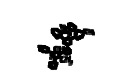 Cc1c(-c2ccccc2)nc(-c2ccccc2)c(C)c1-c1cccc(-c2cc(-c3ccc(C#N)cc3)cc(-c3ccccc3-c3nc4ccccc4s3)c2)c1